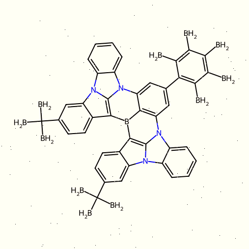 Bc1c(B)c(B)c(-c2cc3c4c(c2)-n2c5ccccc5n5c6cc(C(B)(B)B)ccc6c(c25)B4c2c4ccc(C(B)(B)B)cc4n4c5ccccc5n-3c24)c(B)c1B